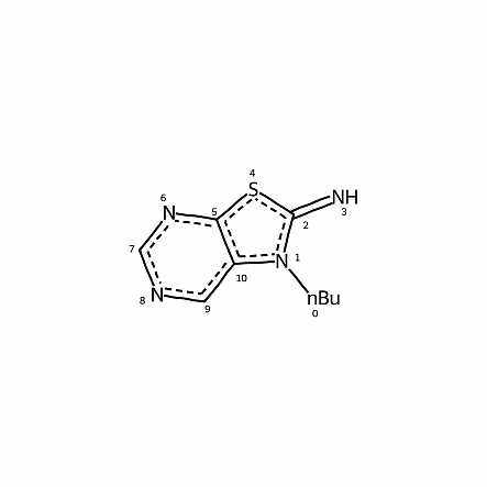 CCCCn1c(=N)sc2ncncc21